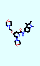 CC1c2cc(NC(=O)c3cc(OCCN4CCOCC4)cc(N4CCOCC4)n3)ccc2N(C)C1C